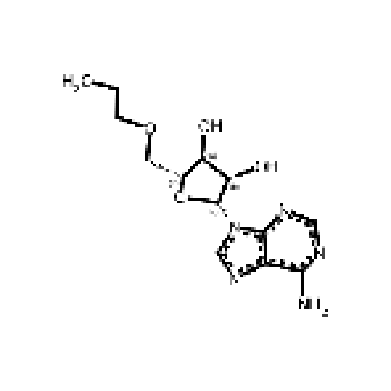 CCCOC[C@H]1O[C@@H](n2cnc3c(N)ncnc32)[C@H](O)[C@@H]1O